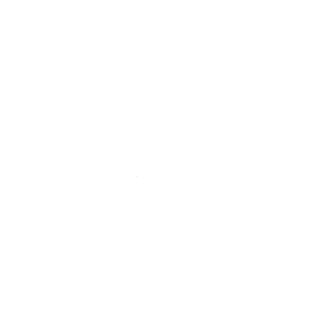 COc1cccc2c1Cc1cccc(Cl)c1C2=O